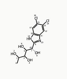 CC(O)C(O)C(O)[C@@H](O)c1nc2cc(Cl)c(Cl)cc2[nH]1